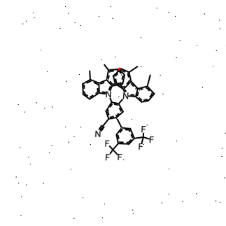 Cc1cccc2c1c1c(C)cccc1n2-c1cc(C#N)c(-c2cc(C(F)(F)F)cc(C(F)(F)F)c2)cc1-n1c2cccc(C)c2c2c(C)cccc21